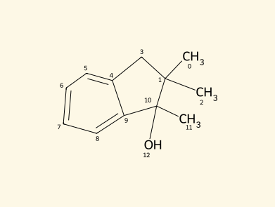 CC1(C)Cc2ccccc2C1(C)O